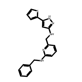 c1ccc(CNc2cccc(CNc3cc(-c4cccs4)[nH]n3)n2)cc1